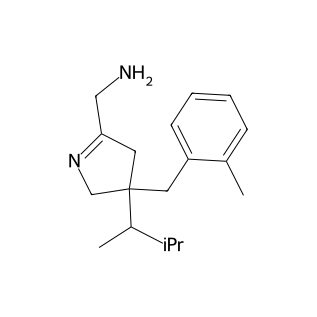 Cc1ccccc1CC1(C(C)C(C)C)CN=C(CN)C1